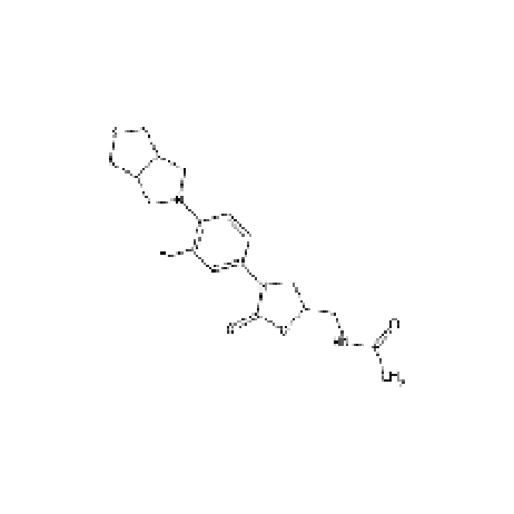 CC(=O)NCC1CN(c2ccc(N3CC4CSCC4C3)c(F)c2)C(=O)O1